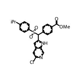 COC(=O)c1ccc(C(c2cc3cc(Cl)ncc3[nH]2)S(=O)(=O)c2ccc(C(C)C)cc2)cc1